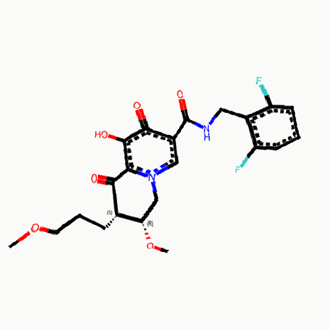 COCCC[C@@H]1C(=O)c2c(O)c(=O)c(C(=O)NCc3c(F)cccc3F)cn2C[C@@H]1OC